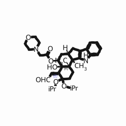 CC(C)OC1(OC(C)C)CC[C@]2(C)[C@@]3(C)c4[nH]c5ccccc5c4C[C@@H]3C[C@H](OC(=O)CN3CCOCC3)[C@@]2(O)/C1=C/C=O